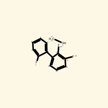 CO.Fc1ccccc1-c1cccc(F)c1F